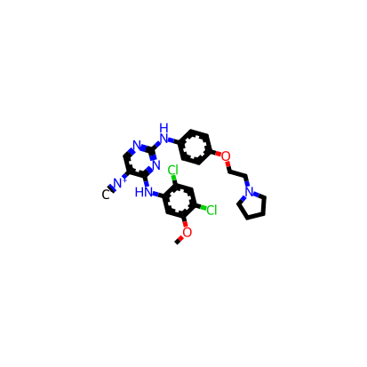 [C-]#[N+]c1cnc(Nc2ccc(OCCN3CCCC3)cc2)nc1Nc1cc(OC)c(Cl)cc1Cl